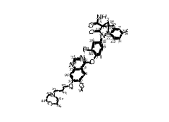 COc1cc2c(Oc3ccc(N(C(=O)C4(C(N)=O)CC4(C)C)c4ccc(F)cc4)cc3F)ncnc2cc1OCCCN1CCOCC1